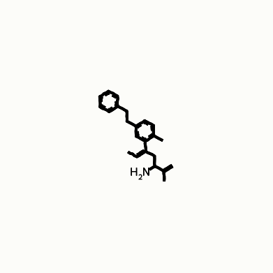 C=C(C)C(N)C/C(=C/C)c1cc(CCc2ccccc2)ccc1C